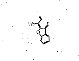 C=C/C(S)=c1/oc2ccccc2/c1=C/C